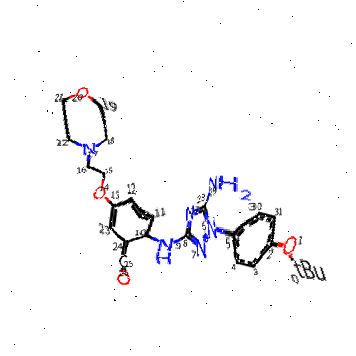 CC(C)(C)Oc1ccc(-n2nc(NC3C=CC(OCCN4CCOCC4)=CC3=C=O)nc2N)cc1